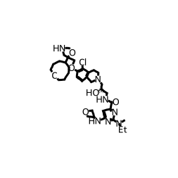 CCN(C)c1nc(NC2COC2)cc(C(=O)NC[C@H](O)CN2CCc3c(ccc(OCC4(C5CCCCCCCC5)CNCO4)c3Cl)C2)n1